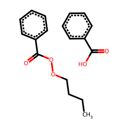 CCCCOOC(=O)c1ccccc1.O=C(O)c1ccccc1